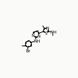 CNc1nc(C)c(-c2ccnc(Nc3ccc(C)c(Br)c3)n2)s1